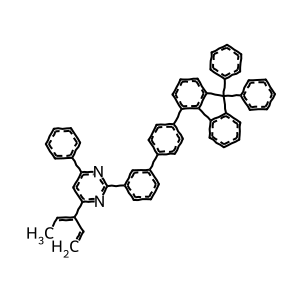 C=C/C(=C\C)c1cc(-c2ccccc2)nc(-c2cccc(-c3ccc(-c4cccc5c4-c4ccccc4C5(c4ccccc4)c4ccccc4)cc3)c2)n1